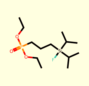 CCOP(=O)(CCC[Si](F)(C(C)C)C(C)C)OCC